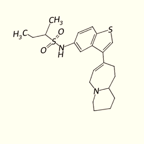 CCC(C)S(=O)(=O)Nc1ccc2scc(C3=CCN4CCCCC4CC3)c2c1